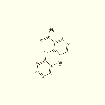 NC(=O)c1ccccc1Sc1ccccc1O